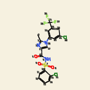 Cc1nc(C(=O)NS(=O)(=O)c2ccccc2Cl)cn1-c1cc(Cl)cc(C(F)(F)F)c1